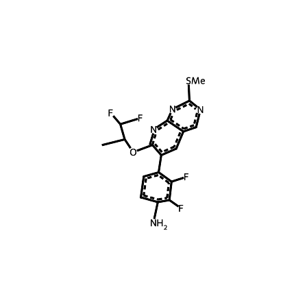 CSc1ncc2cc(-c3ccc(N)c(F)c3F)c(OC(C)C(F)F)nc2n1